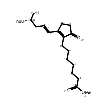 CCCC[C@H](O)C/C=C/C1=C(CCCCCCC(=O)OC)C(=O)CC1